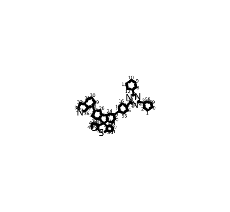 c1ccc(-c2nc(-c3ccccc3)nc(-c3ccc(-c4ccc5c(c4)-c4cc(-c6cccc7ccncc67)ccc4C54c5ccccc5Sc5ccccc54)cc3)n2)cc1